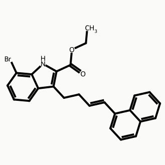 CCOC(=O)c1[nH]c2c(Br)cccc2c1CCC=Cc1cccc2ccccc12